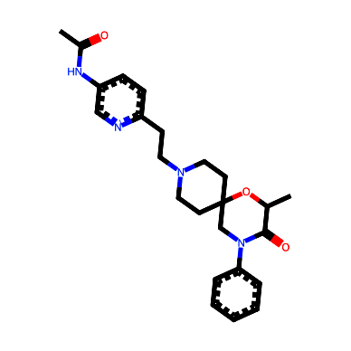 CC(=O)Nc1ccc(CCN2CCC3(CC2)CN(c2ccccc2)C(=O)C(C)O3)nc1